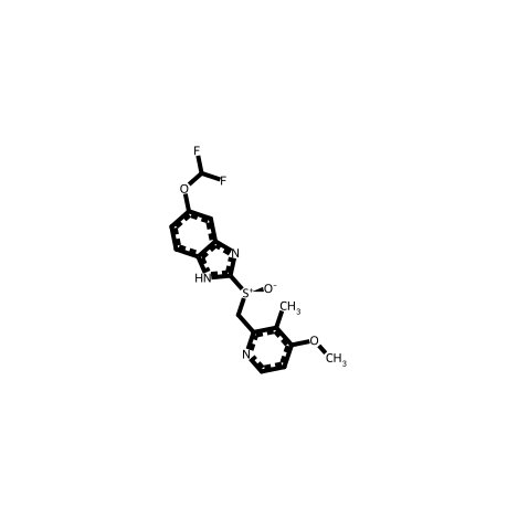 COc1ccnc(C[S@+]([O-])c2nc3cc(OC(F)F)ccc3[nH]2)c1C